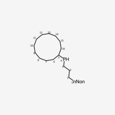 CCCCCCCCCCCCPC1CCCCCCCCCCC1